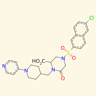 O=C(O)C1CN(S(=O)(=O)c2ccc3cc(Cl)ccc3c2)CC(=O)N1CC1CCN(c2ccncc2)CC1